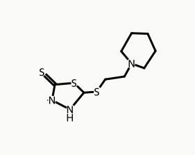 S=C1[N]NC(SCCN2CCCCC2)S1